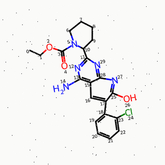 CCOC(=O)N1CCCCC1c1nc(N)c2cc(-c3ccccc3Cl)c(O)nc2n1